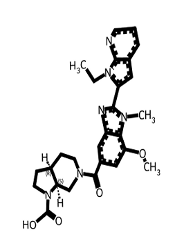 CCn1c(-c2nc3cc(C(=O)N4CC[C@@H]5CCN(C(=O)O)[C@@H]5C4)cc(OC)c3n2C)cc2cccnc21